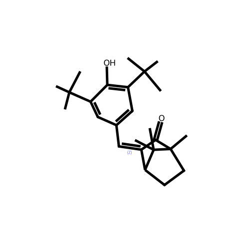 CC(C)(C)c1cc(/C=C2\C(=O)C3(C)CCC2C3(C)C)cc(C(C)(C)C)c1O